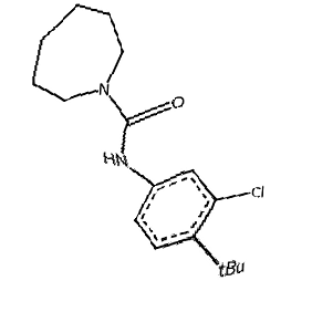 CC(C)(C)c1ccc(NC(=O)N2CCCCCC2)cc1Cl